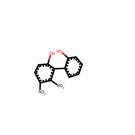 O=[N+]([O-])c1ccc(O)c(-c2ccccc2O)c1[N+](=O)[O-]